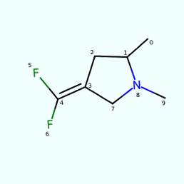 CC1CC(=C(F)F)CN1C